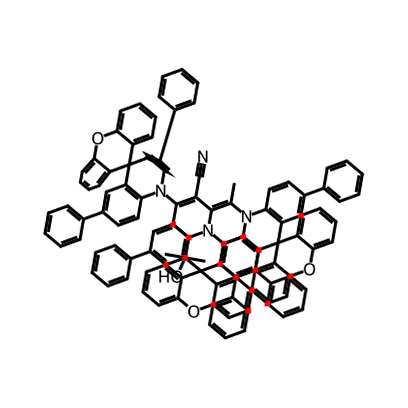 C/C(=C(\C(C#N)=C(/CCC(C)(C)O)N1c2ccc(-c3ccccc3)cc2C2(c3ccccc3Oc3ccccc32)c2cc(-c3ccccc3)ccc21)N1c2ccc(-c3ccccc3)cc2C2(c3ccccc3Oc3ccccc32)c2cc(-c3ccccc3)ccc21)N1c2ccc(-c3ccccc3)cc2C2(c3ccccc3Oc3ccccc32)c2cc(-c3ccccc3)ccc21